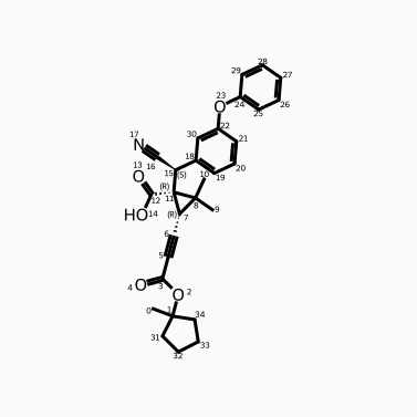 CC1(OC(=O)C#C[C@H]2C(C)(C)[C@]2(C(=O)O)[C@@H](C#N)c2cccc(Oc3ccccc3)c2)CCCC1